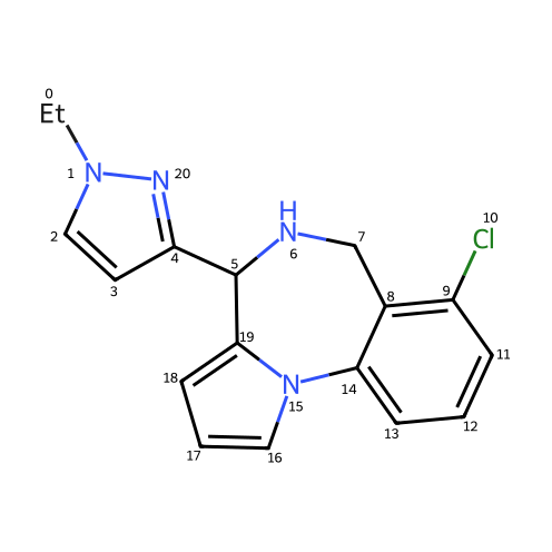 CCn1ccc(C2NCc3c(Cl)cccc3-n3cccc32)n1